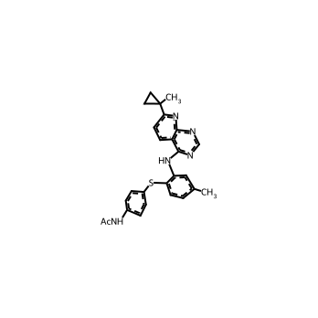 CC(=O)Nc1ccc(Sc2ccc(C)cc2Nc2ncnc3nc(C4(C)CC4)ccc23)cc1